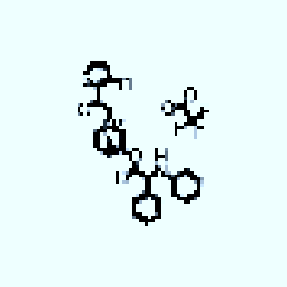 O=C(C[N+]12CCC(CC1)C(OC(=O)C(Nc1ccccc1)c1ccccc1)C2)c1sccc1Cl.O=C([O-])C(F)(F)F